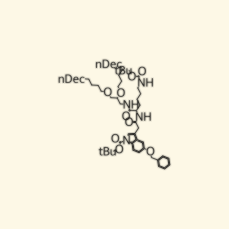 CCCCCCCCCCCCCCOCC(CNC(=O)C(CCCCNC(=O)OC(C)(C)C)NC(=O)Cc1cn(C(=O)OC(C)(C)C)c2ccc(OCc3ccccc3)cc12)OCCCCCCCCCCCCCC